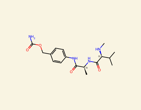 CN[C@H](C(=O)N[C@@H](C)C(=O)Nc1ccc(COC(N)=O)cc1)C(C)C